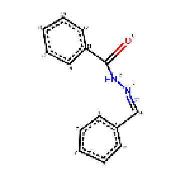 O=C(N/N=C\c1ccccc1)c1ccccc1